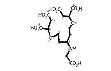 O=C(O)CNC(CCOC(CC(=O)O)C(=O)O)CCOC(CC(=O)O)C(=O)O